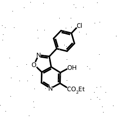 CCOC(=O)c1ncc2onc(-c3ccc(Cl)cc3)c2c1O